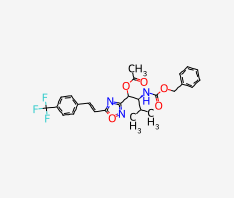 CC(=O)OC(c1noc(C=Cc2ccc(C(F)(F)F)cc2)n1)[C@@H](NC(=O)OCc1ccccc1)C(C)C